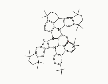 CC(C)(C)c1ccc(N2c3cc([Si](C)(C)C)cc4c3B(c3ccc5c6c3N4c3cc4c(cc3C6(C)CCC5(C)C)C(C)(C)CCC4(C)C)c3sc4cc5c(cc4c32)C(C)(C)CCC5(C)C)c(-c2ccccc2)c1